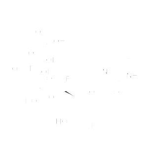 O=c1ccn([C@@H](CF)O[C@H](COP(=O)(O)OP(=O)(O)OP(=O)(O)O)[C@@H](O)Cl)c(=O)[nH]1